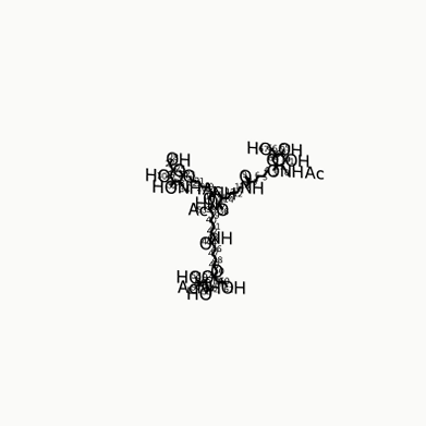 CC(=O)NC1C(OCCCCC(=O)NCCCCC(NC(=O)CCCCOC2OC(CO)C(O)C(O)C2NC(C)=O)C(=O)NC(CCCCNC(=O)CCCCOC(OC(CO)[C@@H](C)O)[C@H](CO)NC(C)=O)C(C)=O)OC(CO)C(O)C1O